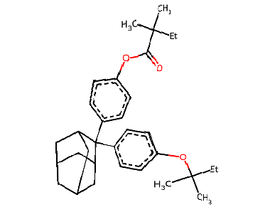 CCC(C)(C)Oc1ccc(C2(c3ccc(OC(=O)C(C)(C)CC)cc3)C3CC4CC(C3)CC2C4)cc1